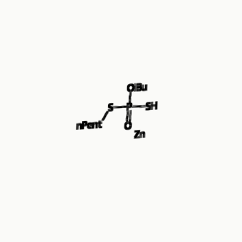 CCCCCSP(=O)(S)OCC(C)C.[Zn]